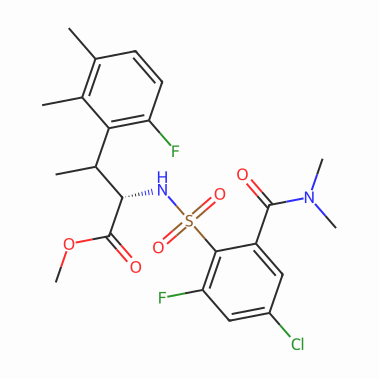 COC(=O)[C@@H](NS(=O)(=O)c1c(F)cc(Cl)cc1C(=O)N(C)C)C(C)c1c(F)ccc(C)c1C